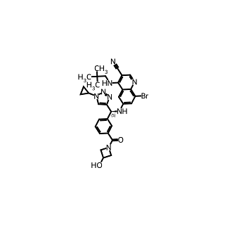 CC(C)(C)CNc1c(C#N)cnc2c(Br)cc(N[C@@H](c3cccc(C(=O)N4CC(O)C4)c3)c3cn(C4CC4)nn3)cc12